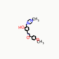 COc1ccc(C(=O)/C=C/c2ccc(CN3CCN(C)CC3)c(O)c2)cc1